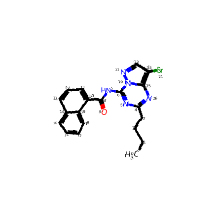 CCCCc1nc(NC(=O)c2cccc3ccccc23)n2ncc(Br)c2n1